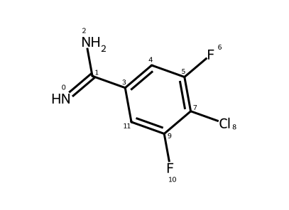 N=C(N)c1cc(F)c(Cl)c(F)c1